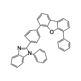 c1ccc(-c2cccc3c2oc2c(-c4ccc(-c5nc6ccccc6n5-c5ccccc5)cc4)cccc23)cc1